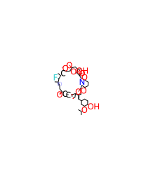 CCC1(C(C)=CC2CCC(O)C(OC(C)C)C2)OC(=O)C2CCCCN2C(=O)C(=O)C2(O)OC(C(OC)CC(C)C(F)/C(C)=C/CC(=O)CCC1C)C(OC)CC2C